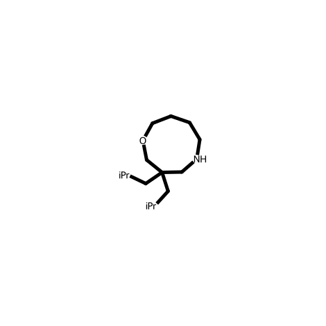 CC(C)CC1(CC(C)C)CNCCCCOC1